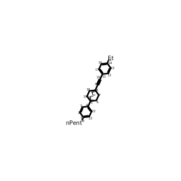 CCCCCc1ccc(C23CCC(C#Cc4ccc(CC)cc4)(CC2)CC3)cc1